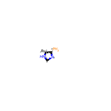 P.[Ru].c1c[nH]cn1